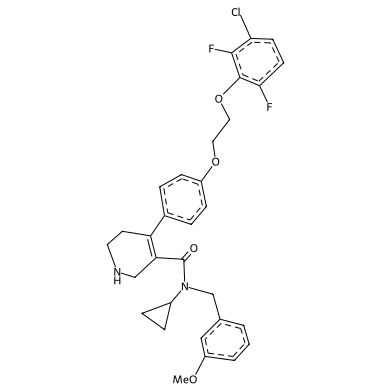 COc1cccc(CN(C(=O)C2=C(c3ccc(OCCOc4c(F)ccc(Cl)c4F)cc3)CCNC2)C2CC2)c1